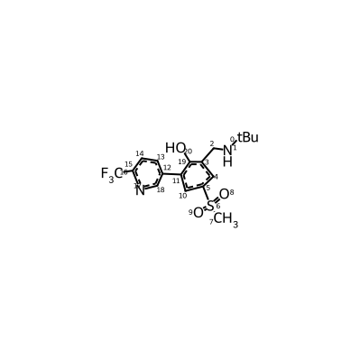 CC(C)(C)NCc1cc(S(C)(=O)=O)cc(-c2ccc(C(F)(F)F)nc2)c1O